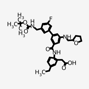 CCc1ccc(NC(=O)c2cc(NCC3CCCO3)cc(-c3cc(F)cc(CNC(=O)OC(C)(C)C)c3)c2)c(CC(=O)O)c1